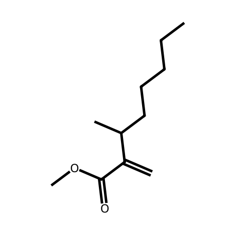 C=C(C(=O)OC)C(C)CCCCC